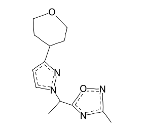 Cc1noc(C(C)n2ccc(C3CCOCC3)n2)n1